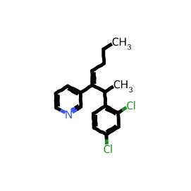 CCCC=C(c1cccnc1)C(C)c1ccc(Cl)cc1Cl